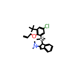 C=CCOc1c(C(C)(C)C)cc(Cl)cc1[Si](C)(C)C1C(N(C)C)=Cc2ccccc21